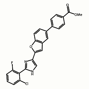 COC(=O)c1ccc(-c2ccc3oc(-c4c[nH]c(-c5c(F)cccc5Cl)n4)cc3c2)cc1